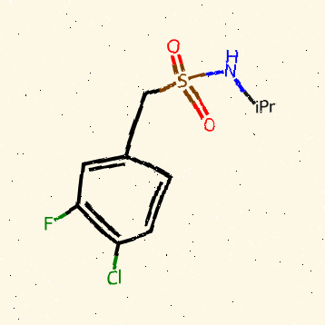 CC(C)NS(=O)(=O)Cc1ccc(Cl)c(F)c1